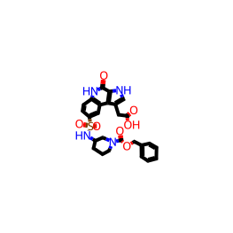 O=C(O)Cc1c[nH]c2c(=O)[nH]c3ccc(S(=O)(=O)NC4CCCN(C(=O)OCc5ccccc5)C4)cc3c12